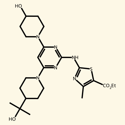 CCOC(=O)c1sc(Nc2nc(N3CCC(O)CC3)cc(N3CCC(C(C)(C)O)CC3)n2)nc1C